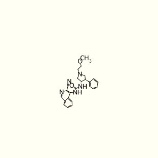 COCCN1C[C@@H](NC(=O)Nc2c(C#N)ncc3ccccc23)[C@H](c2ccccc2)C1